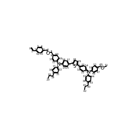 C=Cc1ccc(COCc2ccc(N(c3ccc(CCC)cc3)c3ccc(-c4ccc(-c5ccc(N(c6ccc(CCC)cc6)c6ccc(COC)cc6)cc5)s4)cc3)cc2)cc1